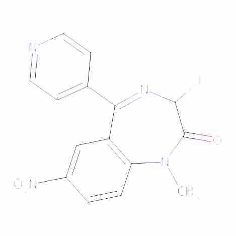 CN1C(=O)C(F)N=C(c2ccncc2)c2cc([N+](=O)[O-])ccc21